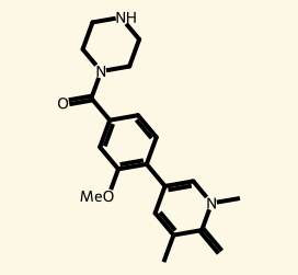 C=C1C(C)=CC(c2ccc(C(=O)N3CCNCC3)cc2OC)=CN1C